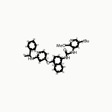 COc1ncc(C(C)(C)C)cc1NC(=O)Nc1ccc(Oc2ccnc(NC(C)c3ccccc3)c2)c2ccccc12